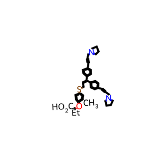 CCC(Oc1ccc(SCC=C(c2ccc(C#CCN3CCCC3)cc2)c2ccc(C#CCN3CCCC3)cc2)cc1C)C(=O)O